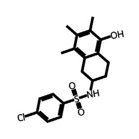 Cc1c(C)c(O)c2c(c1C)CC(NS(=O)(=O)c1ccc(Cl)cc1)CC2